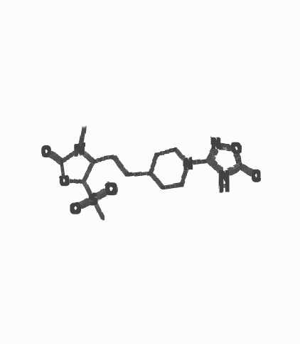 CN1C(=O)OC(S(C)(=O)=O)C1CCC1CCN(c2noc(=O)[nH]2)CC1